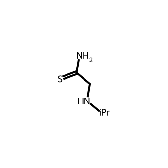 CC(C)NCC(N)=S